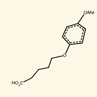 COc1ccc(OCCCCC(=O)O)cc1